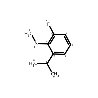 CSc1c(F)cccc1C(C)C